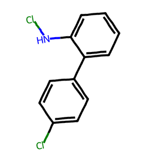 ClNc1ccccc1-c1ccc(Cl)cc1